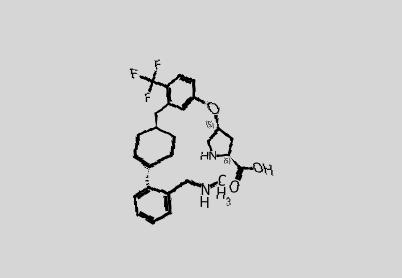 CNCc1ccccc1[C@H]1CC[C@H](Cc2cc(O[C@@H]3CN[C@H](C(=O)O)C3)ccc2C(F)(F)F)CC1